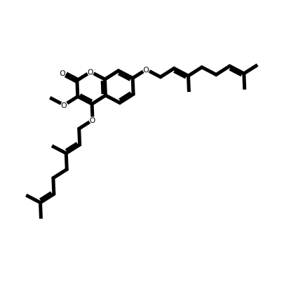 COc1c(OC/C=C(\C)CCC=C(C)C)c2ccc(OC/C=C(\C)CCC=C(C)C)cc2oc1=O